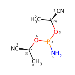 C[C@@H](C#N)OP(N)O[C@@H](C)C#N